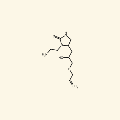 C=CCOCC(O)CC1CNC(=O)N1CCN